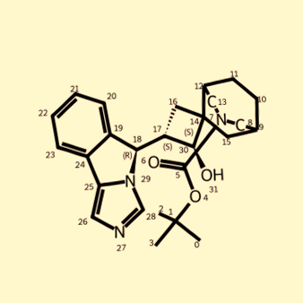 CC(C)(C)OC(=O)N1CC2CCC(C1)C1(C2)C[C@@H]([C@@H]2c3ccccc3-c3cncn32)[C@@H]1O